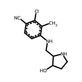 Cc1c(NCC2NCCC2O)ccc(C#N)c1Cl